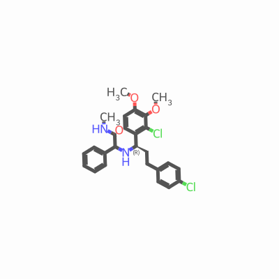 CNC(=O)C(N[C@H](CCc1ccc(Cl)cc1)c1ccc(OC)c(OC)c1Cl)c1ccccc1